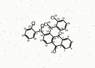 O=C1c2ccccc2C(=O)c2c1ccc(N(Cl)c1ccccc1Cl)c2N(Cl)c1ccccc1Cl